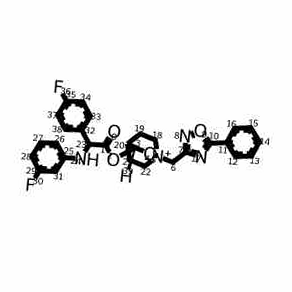 O=C(O[C@H]1C[N+]2(Cc3noc(-c4ccccc4)n3)CCC1CC2)C(Nc1cccc(F)c1)c1ccc(F)cc1